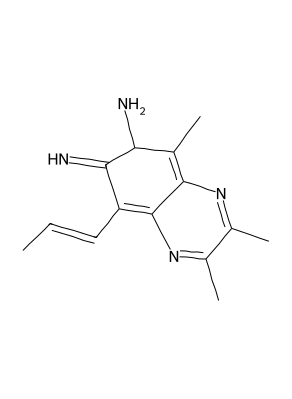 C/C=C/C1=c2nc(C)c(C)nc2=C(C)C(N)C1=N